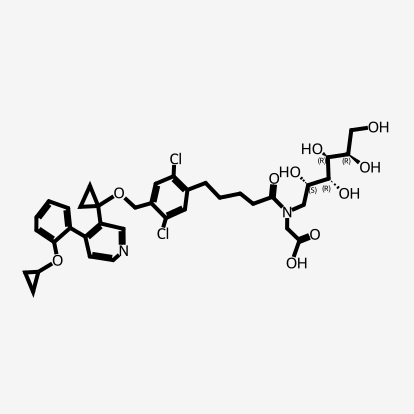 O=C(O)CN(C[C@H](O)[C@@H](O)[C@H](O)[C@H](O)CO)C(=O)CCCCc1cc(Cl)c(COC2(c3cnccc3-c3ccccc3OC3CC3)CC2)cc1Cl